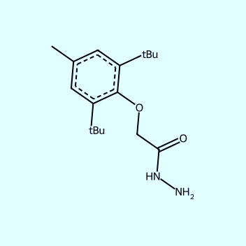 Cc1cc(C(C)(C)C)c(OCC(=O)NN)c(C(C)(C)C)c1